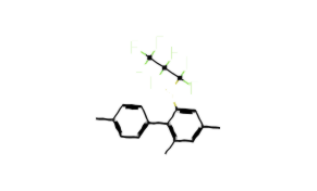 Cc1[c]c(C)c(-c2ccc(C)cc2)c(SC(F)(F)C(F)(F)C(F)(F)F)c1